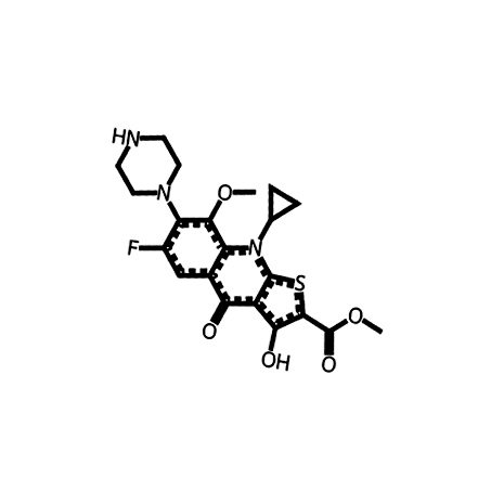 COC(=O)c1sc2c(c1O)c(=O)c1cc(F)c(N3CCNCC3)c(OC)c1n2C1CC1